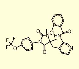 CC1(Cc2ccncc2NC(=O)c2ccccc2Cl)NC(=O)N(c2ccc(OC(F)(F)F)cc2)C1=O